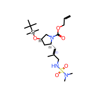 C=CCOC(=O)N1C[C@H](O[Si](C)(C)C(C)(C)C)C[C@H]1/C=C(\C)CNS(=O)(=O)N(C)C